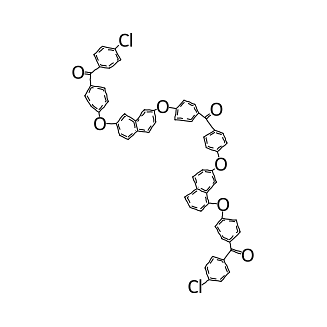 O=C(c1ccc(Cl)cc1)c1ccc(Oc2ccc3ccc(Oc4ccc(C(=O)c5ccc(Oc6ccc7cccc(Oc8ccc(C(=O)c9ccc(Cl)cc9)cc8)c7c6)cc5)cc4)cc3c2)cc1